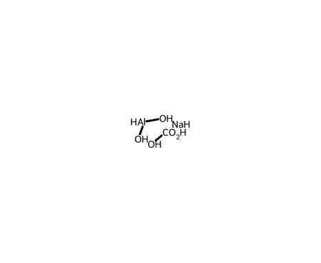 O=C(O)O.[NaH].[OH][AlH][OH]